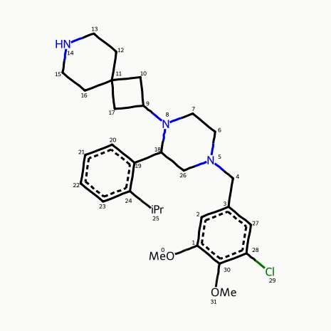 COc1cc(CN2CCN(C3CC4(CCNCC4)C3)C(c3ccccc3C(C)C)C2)cc(Cl)c1OC